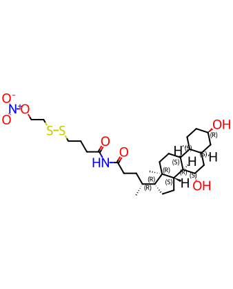 C[C@H](CCC(=O)NC(=O)CCCSSCCO[N+](=O)[O-])[C@H]1CC[C@H]2[C@@H]3[C@@H](O)C[C@@H]4C[C@H](O)CC[C@]4(C)[C@H]3CC[C@]12C